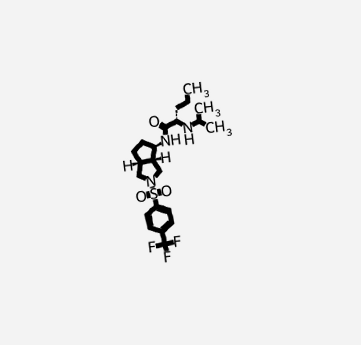 CCC[C@H](NC(C)C)C(=O)N[C@@H]1CC[C@H]2CN(S(=O)(=O)c3ccc(C(F)(F)F)cc3)C[C@H]21